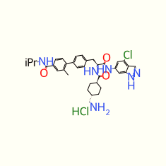 Cc1cc(C(=O)NC(C)C)ccc1-c1ccc(C[C@H](NC(=O)[C@H]2CC[C@H](CN)CC2)C(=O)Nc2cc(Cl)c3cn[nH]c3c2)cc1.Cl